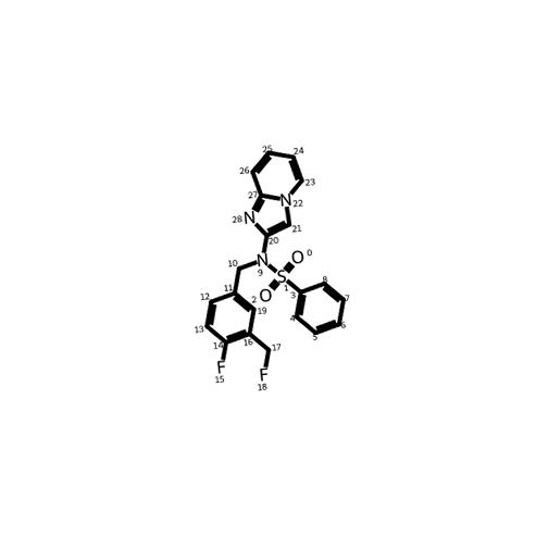 O=S(=O)(c1ccccc1)N(Cc1ccc(F)c(CF)c1)c1cn2ccccc2n1